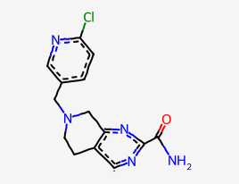 NC(=O)c1n[c]c2c(n1)CN(Cc1ccc(Cl)nc1)CC2